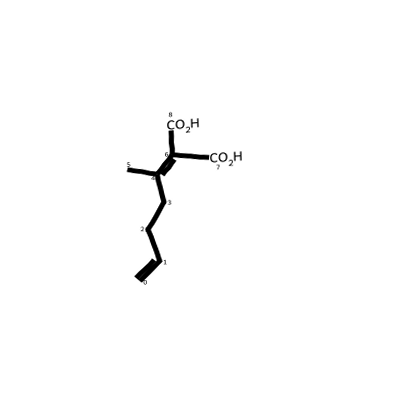 C=CCCC(C)=C(C(=O)O)C(=O)O